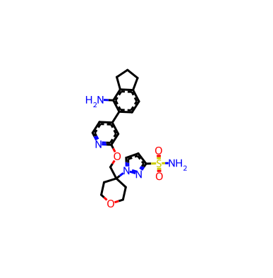 Nc1c(-c2ccnc(OCC3(n4ccc(S(N)(=O)=O)n4)CCOCC3)c2)ccc2c1CCC2